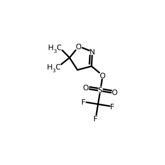 CC1(C)CC(OS(=O)(=O)C(F)(F)F)=NO1